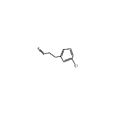 S=[C]CCc1cccc(Cl)c1